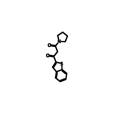 O=C(CC(=O)N1CCCC1)c1cc2ccccc2s1